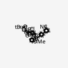 COc1ccccc1S(=O)(=O)N(Cc1ccc(-c2cccc(C#N)c2)cc1)Cc1ccc(C(F)(F)P(=O)(O)OCOC(=O)C(C)(C)C)c(Cl)c1